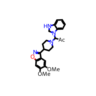 COc1cc2onc(C3CCN(C(C(C)=O)N4CNc5ccccc54)CC3)c2cc1OC